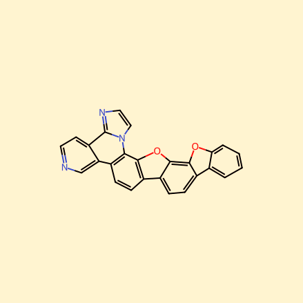 c1ccc2c(c1)oc1c2ccc2c3ccc4c5cnccc5c5nccn5c4c3oc21